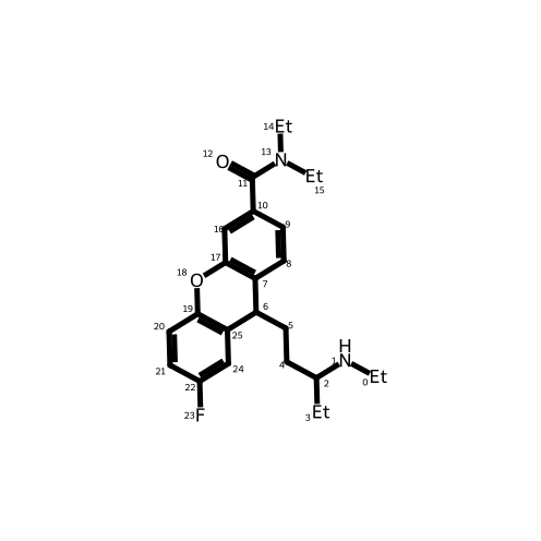 CCNC(CC)CCC1c2ccc(C(=O)N(CC)CC)cc2Oc2ccc(F)cc21